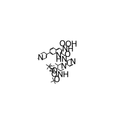 CC1CN(c2ccncc2NC(=O)c2nc3cc(C4=CCN(C)CC4)ccc3cc2NC(=O)O)CC(NC(=O)OC(C)(C)C)C1O[Si](C)(C)C(C)(C)C